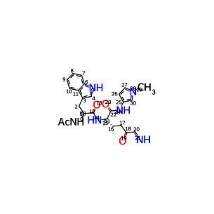 CC(=O)N[C@@H](Cc1c[nH]c2ccccc12)C(=O)N[C@@H](CCC(=O)C=N)C(=O)Nc1ccn(C)c1